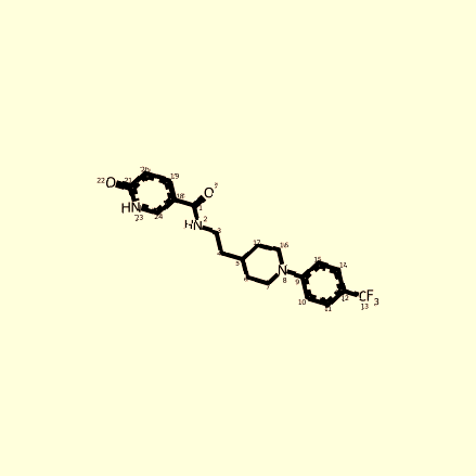 O=C(NCCC1CCN(c2ccc(C(F)(F)F)cc2)CC1)c1ccc(=O)[nH]c1